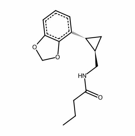 CCCC(=O)NC[C@@H]1C[C@H]1c1cccc2c1OCO2